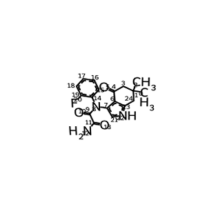 CC1(C)CC(=O)c2c(N(C(=O)C(N)=O)c3ccccc3F)c[nH]c2C1